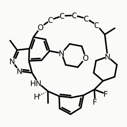 Cc1nnc2c3cc(N4CCOCC4)cc(c13)OCCCCCC(C)N1CCC(CC1)C(F)(F)c1cccc(c1)[C@@H](C)N2